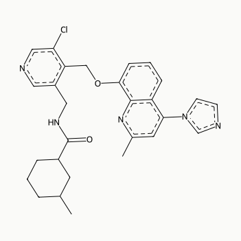 Cc1cc(-n2ccnc2)c2cccc(OCc3c(Cl)cncc3CNC(=O)C3CCCC(C)C3)c2n1